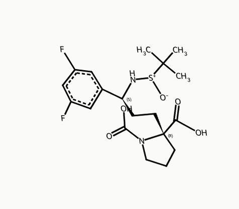 CC(C)(C)[S+]([O-])N[C@@H](CC[C@@]1(C(=O)O)CCCN1C(=O)O)c1cc(F)cc(F)c1